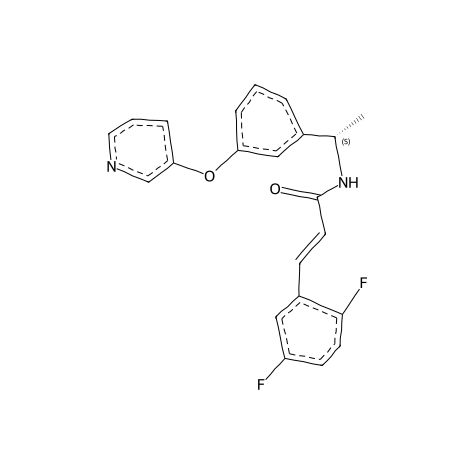 C[C@H](NC(=O)C=Cc1cc(F)ccc1F)c1cccc(Oc2cccnc2)c1